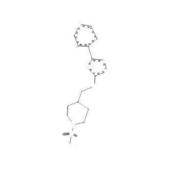 CCCCS(=O)(=O)N1CCC(COc2nc(-c3ccncc3)no2)CC1